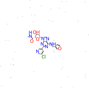 CNC(=O)[C@H]1O[C@@H](n2cnc3c(NCc4ccoc4)nc(-c4cncc(Cl)c4)nc32)C[C@@H]1O